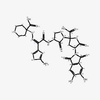 Nc1nc(/C(=N/OC2(C(=O)O)CCOCC2)C(=O)N[C@H]2CON(C3(C(=O)O)C[C@H](N4C(=O)c5cc(O)c(O)cc5C4=O)C(=O)O3)C2=O)cs1